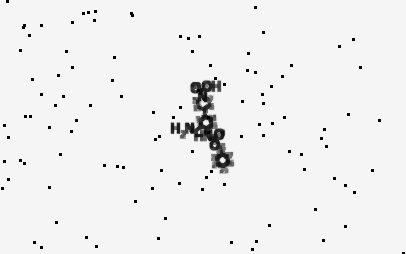 NCc1cc(C2=CCN(C(=O)O)CC2)ccc1NC(=O)OCc1ccccc1